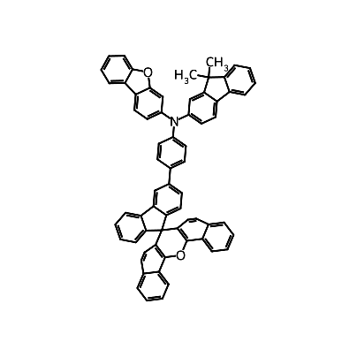 CC1(C)c2ccccc2-c2ccc(N(c3ccc(-c4ccc5c(c4)-c4ccccc4C54c5ccc6ccccc6c5Oc5c4ccc4ccccc54)cc3)c3ccc4c(c3)oc3ccccc34)cc21